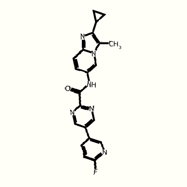 Cc1c(C2CC2)nc2ccc(NC(=O)c3ncc(-c4ccc(F)nc4)cn3)cn12